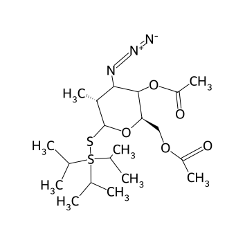 CC(=O)OC[C@H]1OC(SS(C(C)C)(C(C)C)C(C)C)[C@H](C)C(N=[N+]=[N-])C1OC(C)=O